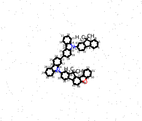 CC1(C)c2ccccc2-c2ccc(-n3c4ccccc4c4cc(-c5ccc6c7ccccc7n(-c7ccc8c(c7)C(C)(C)c7c-8ccc8oc9ccccc9c78)c6c5)ccc43)cc21